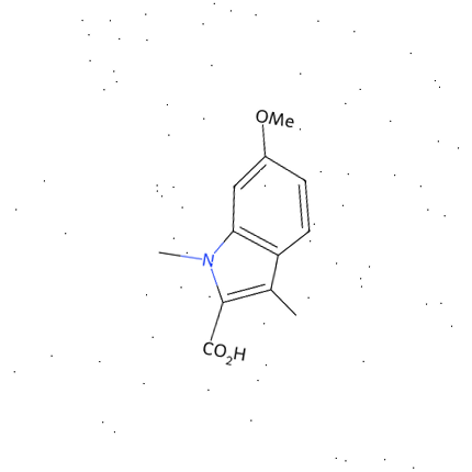 COc1ccc2c(C)c(C(=O)O)n(C)c2c1